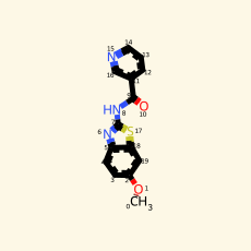 COc1ccc2nc(NC(=O)c3cccnc3)sc2c1